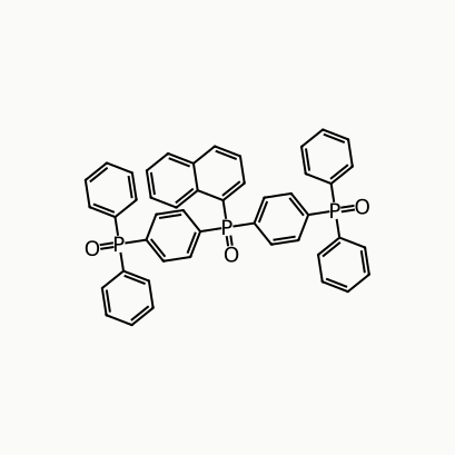 O=P(c1ccccc1)(c1ccccc1)c1ccc(P(=O)(c2ccc(P(=O)(c3ccccc3)c3ccccc3)cc2)c2cccc3ccccc23)cc1